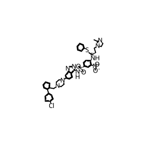 CC1=NCCN1CC[C@H](CSc1ccccc1)Nc1ccc(S(=O)(=O)Nc2ncnc3cc(N4CCN(Cc5ccccc5-c5ccc(Cl)cc5)CC4)ccc23)cc1[N+](=O)[O-]